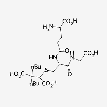 CCCCC(CCCC)(C(=O)O)C(SCC(NC(=O)CCC(N)C(=O)O)C(=O)NCC(=O)O)C(=O)O